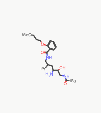 COCCCOc1ccccc1C(=O)NCC(CC(N)C(O)CNC(=O)C(C)(C)C)C(C)C